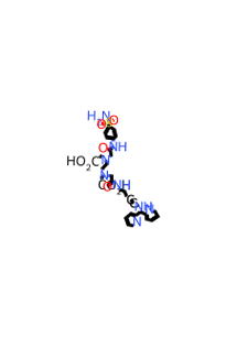 NS(=O)(=O)c1ccc(NC(=O)CN(CCN(CC(=O)O)CC(=O)NCCCCCNC(c2ccccn2)c2ccccn2)CC(=O)O)cc1